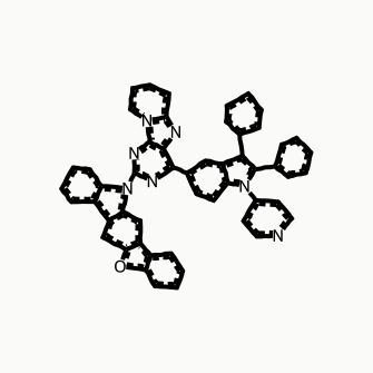 c1ccc(-c2c(-c3ccccc3)n(-c3ccncc3)c3ccc(-c4nc(-n5c6ccccc6c6cc7oc8ccccc8c7cc65)nc5c4nc4ccccn45)cc23)cc1